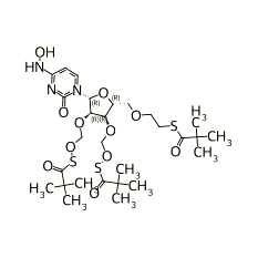 CC(C)(C)C(=O)SCCOC[C@H]1O[C@@H](n2ccc(NO)nc2=O)[C@H](OCOSC(=O)C(C)(C)C)[C@@H]1OCOSC(=O)C(C)(C)C